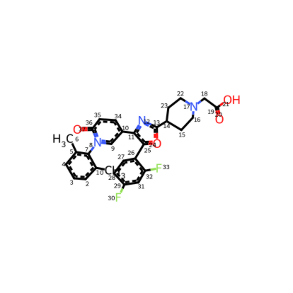 Cc1cccc(C)c1-n1cc(-c2nc(C3CCN(CC(=O)O)CC3)oc2-c2ccc(F)cc2F)ccc1=O